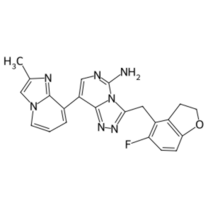 Cc1cn2cccc(-c3cnc(N)n4c(Cc5c(F)ccc6c5CCO6)nnc34)c2n1